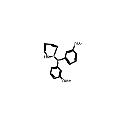 COc1cccc(P(c2cccc(OC)c2)N2C=CC=CN2)c1